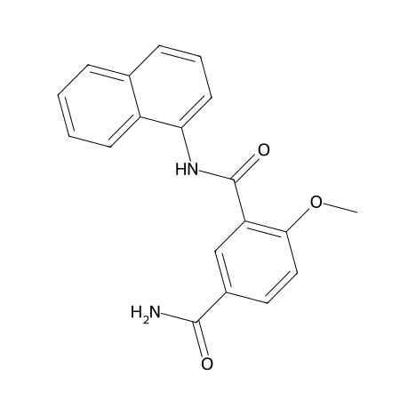 COc1ccc(C(N)=O)cc1C(=O)Nc1cccc2ccccc12